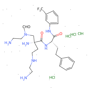 Cl.Cl.Cl.Cl.NCCNCC[C@@](N)(CN(C=O)CCN)C(=O)N[C@@H](CCc1ccccc1)C(=O)Nc1cccc(C(F)(F)F)c1